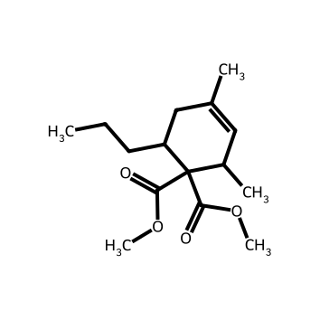 CCCC1CC(C)=CC(C)C1(C(=O)OC)C(=O)OC